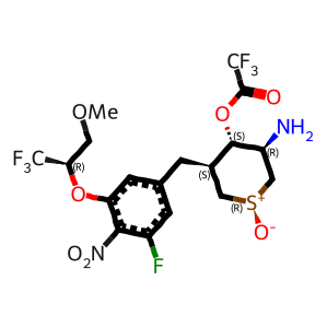 COC[C@@H](Oc1cc(C[C@@H]2C[S@+]([O-])C[C@H](N)[C@H]2OC(=O)C(F)(F)F)cc(F)c1[N+](=O)[O-])C(F)(F)F